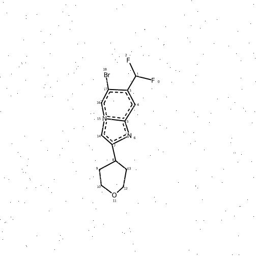 FC(F)c1cc2nc(C3CCOCC3)cn2cc1Br